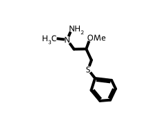 COC(CSc1ccccc1)CN(C)N